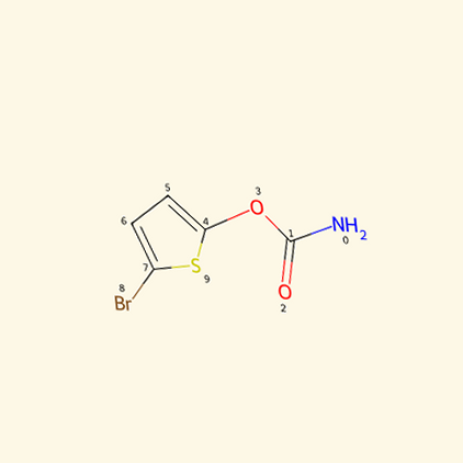 NC(=O)Oc1ccc(Br)s1